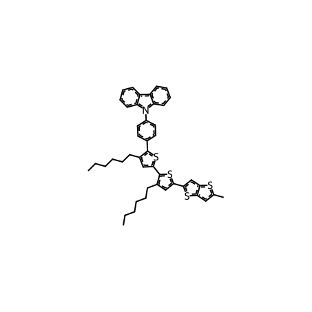 CCCCCCc1cc(-c2sc(-c3cc4sc(C)cc4s3)cc2CCCCCC)sc1-c1ccc(-n2c3ccccc3c3ccccc32)cc1